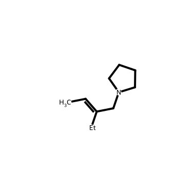 CC=C(CC)CN1CCCC1